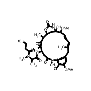 COc1cc2cc(c1Cl)N(C)C(=O)CC(OC(=O)C(C)N(C)C(=O)CCC(C)(C)C)C1(C)OC1C(C)C1CC(O)(NC(=O)O1)C(OC)/C=C/C=C(\C)C2